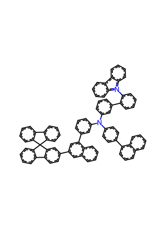 c1cc(-c2ccccc2-n2c3ccccc3c3ccccc32)cc(N(c2ccc(-c3cccc4ccccc34)cc2)c2cccc(-c3cc(-c4ccc5c(c4)C4(c6ccccc6-c6ccccc64)c4ccccc4-5)cc4ccccc34)c2)c1